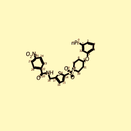 CCCc1cccc(OC2CCN(S(=O)(=O)c3ccc(CNC(=O)c4ccc([N+](=O)[O-])cc4)s3)CC2)c1